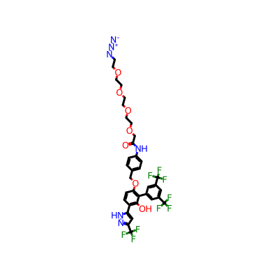 [N-]=[N+]=NCCOCCOCCOCCOCC(=O)Nc1ccc(COc2ccc(-c3cc(C(F)(F)F)n[nH]3)c(O)c2-c2cc(C(F)(F)F)cc(C(F)(F)F)c2)cc1